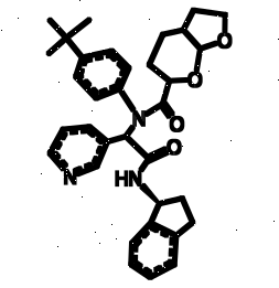 CC(C)(C)c1ccc(N(C(=O)C2CCC3CCOC3O2)C(C(=O)N[C@H]2CCc3ccccc32)c2cccnc2)cc1